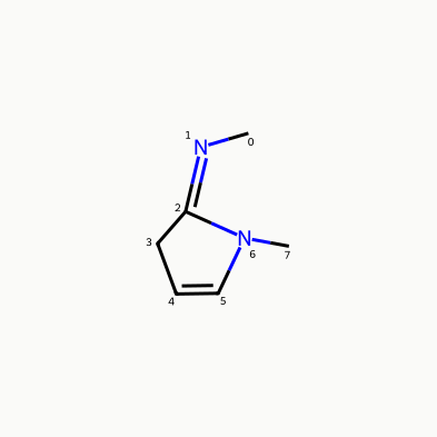 C/N=C1/CC=CN1C